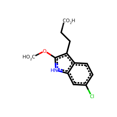 O=C(O)CCc1c(OC(=O)O)[nH]c2cc(Cl)ccc12